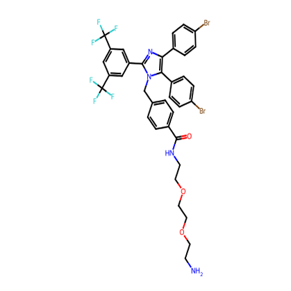 NCCOCCOCCNC(=O)c1ccc(Cn2c(-c3cc(C(F)(F)F)cc(C(F)(F)F)c3)nc(-c3ccc(Br)cc3)c2-c2ccc(Br)cc2)cc1